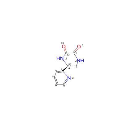 O=C1NC[C@@H](c2ccccn2)NC1=O